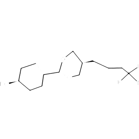 C[C@H]1CC[C@H]([C@H]2OC[C@H](CCCC(F)(F)F)CO2)CC1